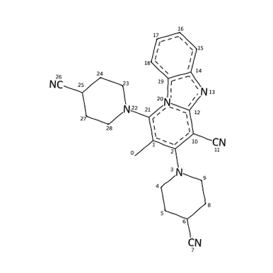 Cc1c(N2CCC(C#N)CC2)c(C#N)c2nc3ccccc3n2c1N1CCC(C#N)CC1